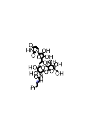 CC(C)C/C=C/C(=O)N[C@@H]1C(O)C(O)[C@@H](C[C@@H](O)C2O[C@@H](n3ccc(=O)[nH]c3=O)[C@H](O)[C@@H]2O)O[C@H]1O[C@H]1O[C@@H](CO)[C@@H](O)C(O)C1C